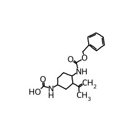 C=C(C)C1CC(NC(=O)O)CCC1NC(=O)OCc1ccccc1